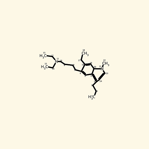 CCCC1=C2C=C(CCCCN(CC)CC)C(CC)=CC2N(C)C=C1